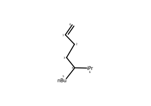 C=CCCC(CCCC)C(C)C